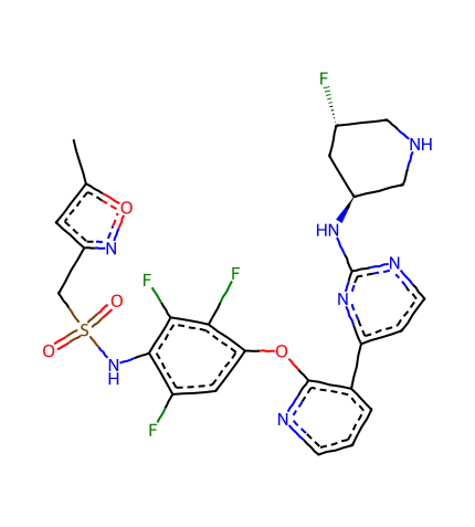 Cc1cc(CS(=O)(=O)Nc2c(F)cc(Oc3ncccc3-c3ccnc(N[C@@H]4CNC[C@@H](F)C4)n3)c(F)c2F)no1